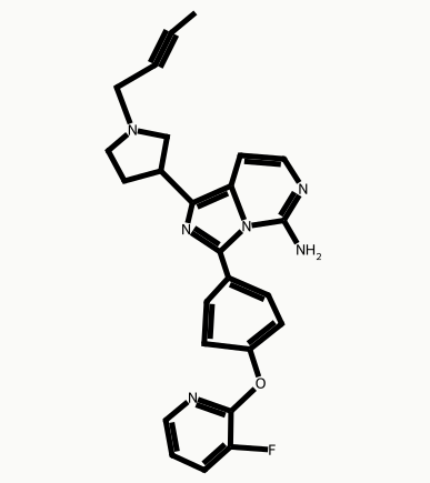 CC#CCN1CCC(c2nc(-c3ccc(Oc4ncccc4F)cc3)n3c(N)nccc23)C1